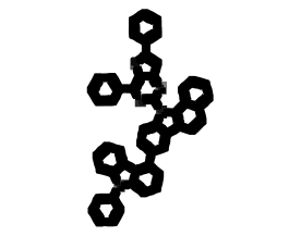 c1ccc(-c2cc3nc(-n4c5ccc(-c6cccc7c6c6ccccc6n7-c6ccccc6)cc5c5ccc6ccccc6c54)nc(-c4ccccc4)c3s2)cc1